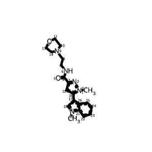 Cn1nc(C(=O)NCCN2CCOCC2)cc1-c1cn(C)c2ccccc12